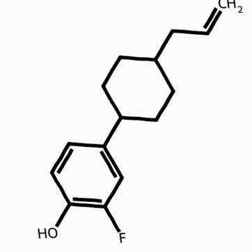 C=CCC1CCC(c2ccc(O)c(F)c2)CC1